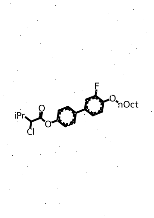 CCCCCCCCOc1ccc(-c2ccc(OC(=O)C(Cl)C(C)C)cc2)cc1F